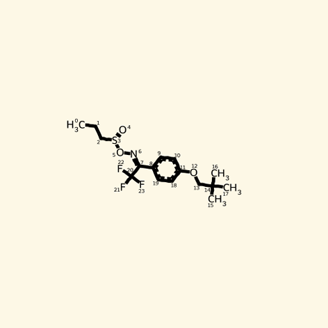 CCCS(=O)O/N=C(/c1ccc(OCC(C)(C)C)cc1)C(F)(F)F